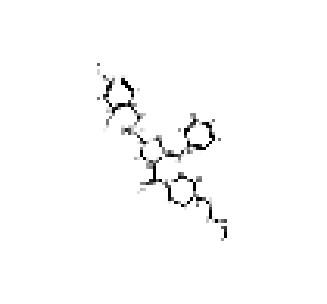 COCCN1CCN(C(=O)C2CC(NCc3ccc(F)cc3F)CN2Cc2ccccc2)CC1